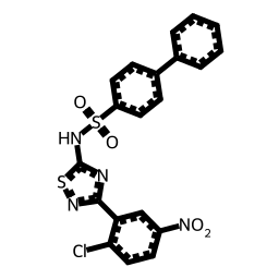 O=[N+]([O-])c1ccc(Cl)c(-c2nsc(NS(=O)(=O)c3ccc(-c4ccccc4)cc3)n2)c1